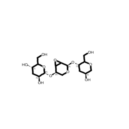 OCC1OC[C@@H](O)C[C@@H]1O[C@H]1OC[C@@H](O[C@H]2OC(CO)[C@@H](O)C[C@@H]2O)C2OC21